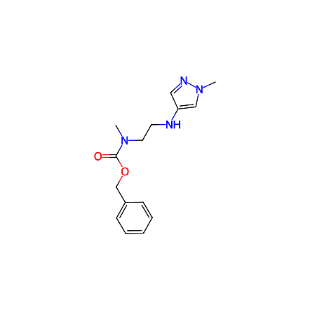 CN(CCNc1cnn(C)c1)C(=O)OCc1ccccc1